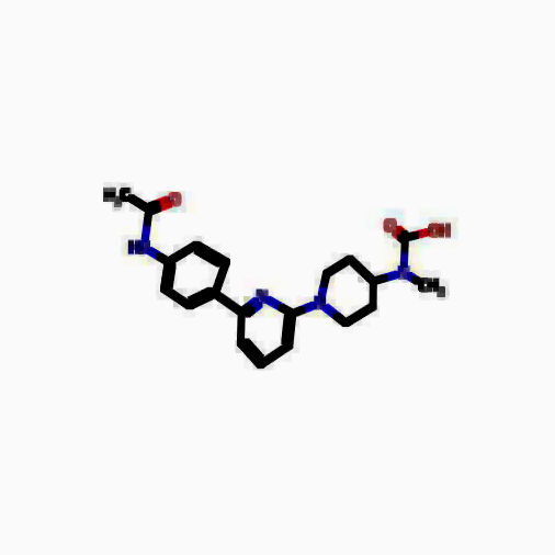 CC(=O)Nc1ccc(-c2cccc(N3CCC(N(C)C(=O)O)CC3)n2)cc1